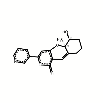 C[C@@]12Oc3cc(-c4cccnc4)oc(=O)c3C=C1CCC[C@@H]2O